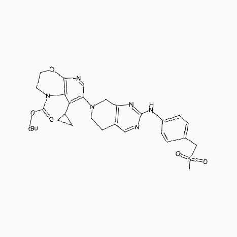 CC(C)(C)OC(=O)N1CCOc2ncc(N3CCc4cnc(Nc5ccc(CS(C)(=O)=O)cc5)nc4C3)c(C3CC3)c21